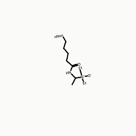 CCCCCCCCCCCCCC(=O)NC(C)[N+]([O-])(CC)CC